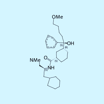 CNC[C@H](CC1CCCCC1)NC(=O)[C@H]1CCC[C@@H]([C@@](O)(CCCCOC)c2ccccc2)C1